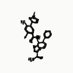 Cn1ccc(-c2cc(C(=O)Nc3c(-c4ccccc4)ccn4c(C(N)=O)cnc34)c(F)cc2C(F)(F)F)n1